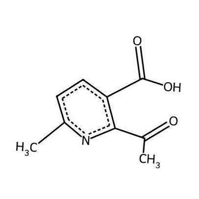 CC(=O)c1nc(C)ccc1C(=O)O